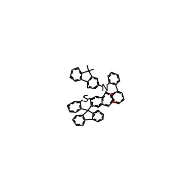 CC1(C)c2ccccc2-c2ccc(N(c3ccccc3-c3ccccc3)c3cccc4cc5c(cc34)Sc3ccccc3C53c4ccccc4-c4ccccc43)cc21